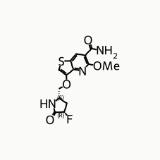 COc1nc2c(OC[C@@H]3C[C@@H](F)C(=O)N3)csc2cc1C(N)=O